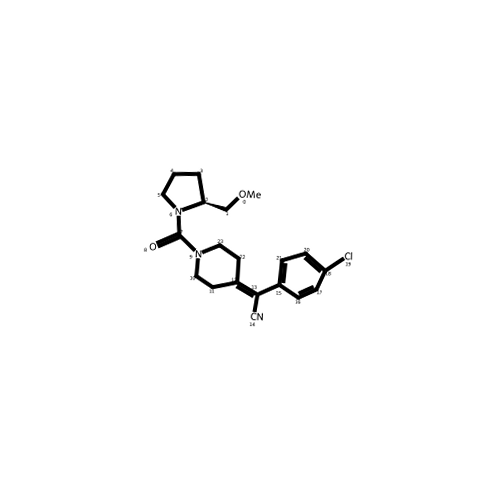 COC[C@@H]1CCCN1C(=O)N1CCC(=C(C#N)c2ccc(Cl)cc2)CC1